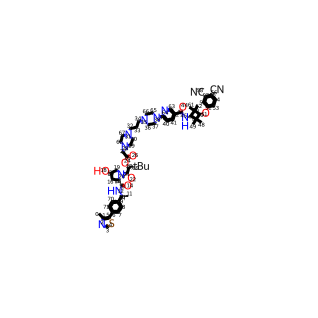 Cc1ncsc1-c1ccc([C@H](C)NC(=O)[C@@H]2C[C@@H](O)CN2C(=O)[C@@H](OC(=O)CN2CCN(CCCN3CCN(c4ccc(C(=O)N[C@H]5C(C)(C)[C@H](Oc6ccc(C#N)c(C#N)c6)C5(C)C)cn4)CC3)CC2)C(C)(C)C)cc1